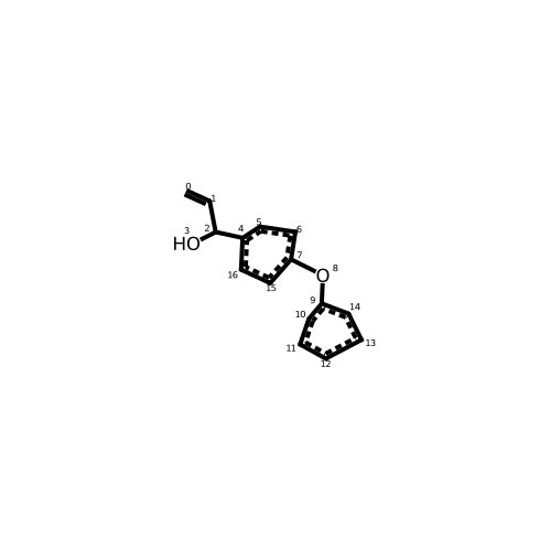 C=CC(O)c1ccc(Oc2ccccc2)cc1